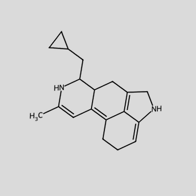 CC1=CC2=C3CCC=C4NCC(=C43)CC2C(CC2CC2)N1